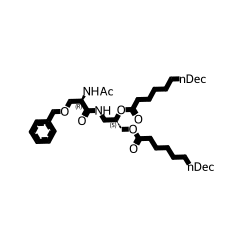 CCCCCCCCCCCCCCCC(=O)OC[C@H](CNC(=O)[C@@H](COCc1ccccc1)NC(C)=O)OC(=O)CCCCCCCCCCCCCCC